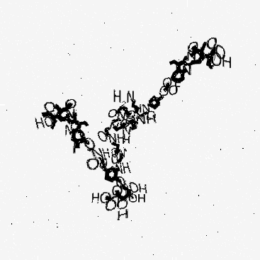 C=C1OCc2c(cc3n(c2=O)Cc2c-3nc3cc(F)c(OCNC(=O)OCc4ccc(O[C@@H]5O[C@H](C(=O)O)[C@@H](O)[C@H](O)[C@H]5O)c(NC(=O)CN(C)C(=O)CCNC(=O)CN(CCN5C(=O)C=CC5=O)CC(=O)NCC(=O)N[C@@H](CCCCN)C(=O)Nc5ccc(COC(=O)Oc6cc7c(CC)c8c(nc7cc6F)-c6cc7c(c(=O)n6C8)COC(=O)[C@]7(O)CC)cc5)c4)cc3c2CC)[C@@]1(O)CC